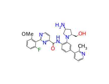 COc1cccc(F)c1-c1nccc(C(=O)Nc2ccc(-c3cccnc3C)cc2N2C[C@@H](N)C[C@H]2CO)n1